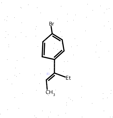 C/C=C(\CC)c1ccc(Br)cc1